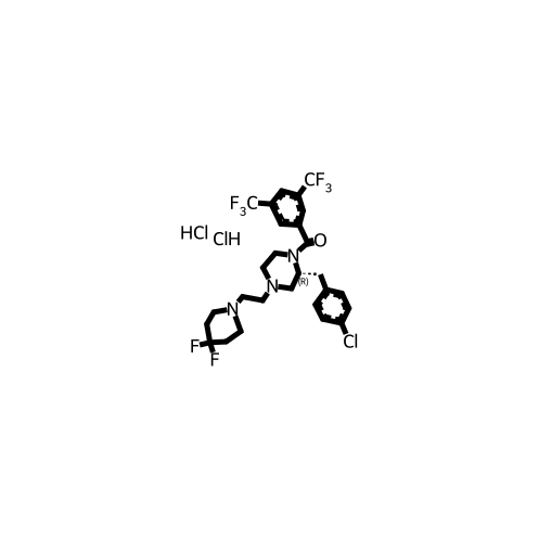 Cl.Cl.O=C(c1cc(C(F)(F)F)cc(C(F)(F)F)c1)N1CCN(CCN2CCC(F)(F)CC2)C[C@H]1Cc1ccc(Cl)cc1